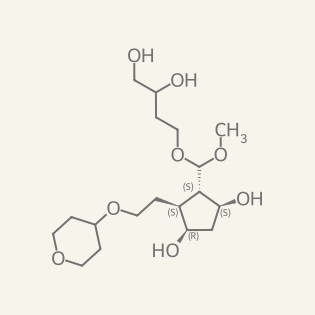 COC(OCCC(O)CO)[C@H]1[C@H](CCOC2CCOCC2)[C@H](O)C[C@@H]1O